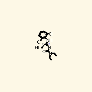 CCN(CC)C(=O)/N=C(/Nc1c(Cl)cccc1Cl)SC.I